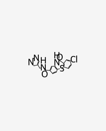 O=C(NCc1cncnc1)c1ccc2c(c1)NC(=O)c1cc(Cl)ccc1S2